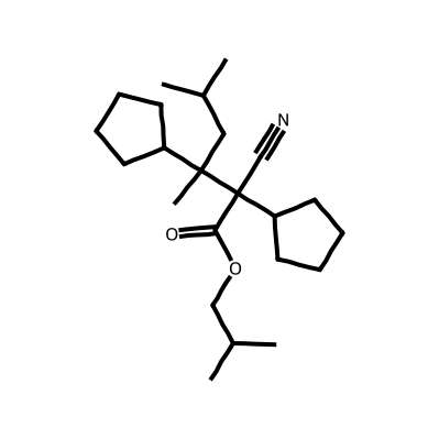 CC(C)COC(=O)C(C#N)(C1CCCC1)C(C)(CC(C)C)C1CCCC1